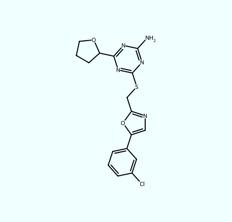 Nc1nc(SCc2ncc(-c3cccc(Cl)c3)o2)nc(C2CCCO2)n1